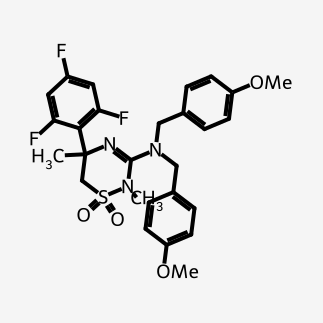 COc1ccc(CN(Cc2ccc(OC)cc2)C2=NC(C)(c3c(F)cc(F)cc3F)CS(=O)(=O)N2C)cc1